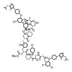 C[C@H](NCc1c(F)cc(Cl)cc1Oc1ccc(-c2cnc(CN(C)C)n2C)cc1)C(=O)N[C@@H](CO)C(=O)N(C)[C@@]1(Cc2ccc(Cl)cc2)CCCN(C(=O)[C@@H](CC(=O)OC(C)(C)C)Cc2cccc(C[C@H](CC(=O)OC(C)(C)C)C(=O)N3CCC[C@](Cc4ccc(Cl)cc4)(N(C)C(=O)[C@H](CO)NC(=O)[C@H](C)NCc4c(F)cc(Cl)cc4Oc4ccc(-c5cnc(CN(C)C)n5C)cc4)C3)[n+]2[O-])C1